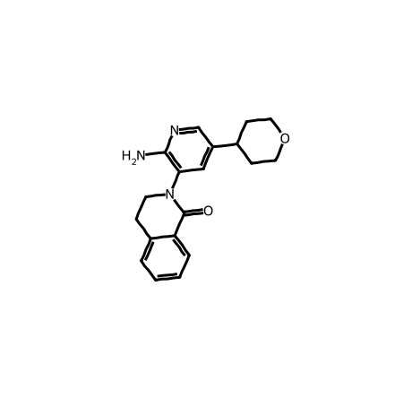 Nc1ncc(C2CCOCC2)cc1N1CCc2ccccc2C1=O